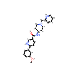 COc1cccc(-c2ccc(C(=O)NC3CCN(Cc4ccccn4)CC3)cn2)c1